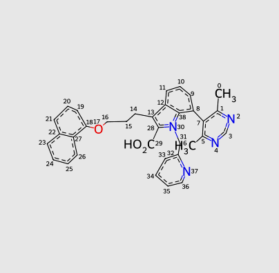 Cc1ncnc(C)c1-c1cccc2c(CCCOc3cccc4ccccc34)c(C(=O)O)n(Cc3ccccn3)c12